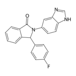 O=C1c2ccccc2C(c2ccc(F)cc2)N1c1ccc2[nH]cnc2c1